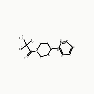 CCC(C)(CC)C(=O)N1CCN(c2ccccn2)CC1